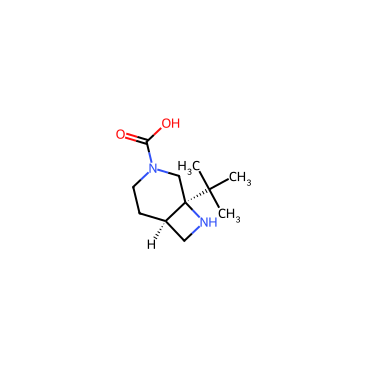 CC(C)(C)[C@@]12CN(C(=O)O)CC[C@@H]1CN2